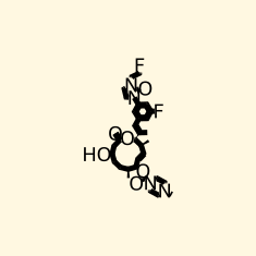 C/C(=C\c1cc(F)cc(N2CCN(CCF)C2=O)c1)[C@H]1OC(=O)C[C@H](O)CC[C@H](C)[C@@H](OC(=O)N2CCN(C)CC2)/C=C/[C@@H]1C